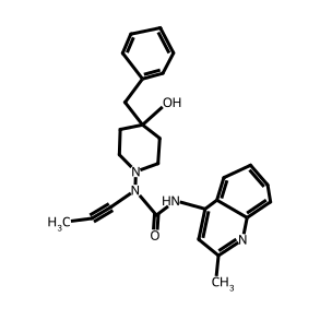 CC#CN(C(=O)Nc1cc(C)nc2ccccc12)N1CCC(O)(Cc2ccccc2)CC1